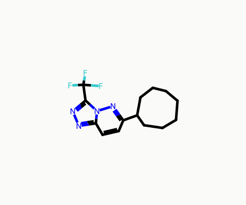 FC(F)(F)c1nnc2ccc(C3CCCCCCC3)nn12